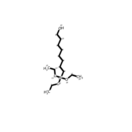 CCO[Si](CCCCCCCCO)(OCC)OCC